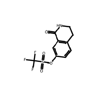 O=C1NCCc2ccc(OS(=O)(=O)C(F)(F)F)cc21